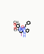 COc1ccc(Nc2ncc(I)c(Nc3ccccc3NC(=O)/C=C/c3ccccc3)n2)cc1OC